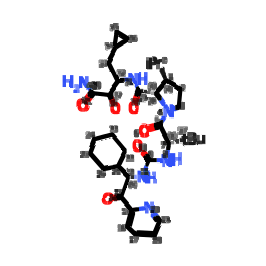 CC(C)[C@H]1CCN(C(=O)[C@@H](NC(=O)N[C@H](C(=O)c2ccccn2)C2CCCCC2)C(C)(C)C)[C@@H]1C(=O)NC(CC1CC1)C(=O)C(N)=O